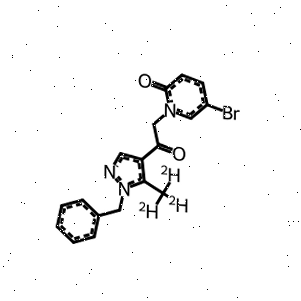 [2H]C([2H])([2H])c1c(C(=O)Cn2cc(Br)ccc2=O)cnn1Cc1ccccc1